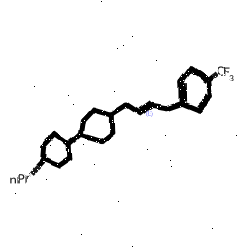 CCCC1CCC(C2CCC(C/C=C/Cc3ccc(C(F)(F)F)cc3)CC2)CC1